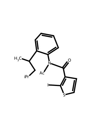 CC(=O)N(C(=O)c1ccsc1I)c1ccccc1C(C)CC(C)C